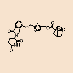 O=C1CCC(N2Cc3c(OCc4nc(COC(=O)C56CC7CC(C5)C(=O)C6C7)cs4)cccc3C2=O)C(=O)N1